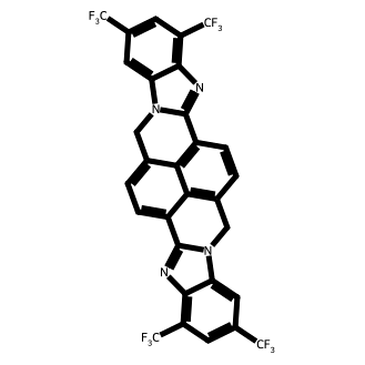 FC(F)(F)c1cc(C(F)(F)F)c2nc3n(c2c1)Cc1ccc2c4c(ccc-3c14)Cn1c-2nc2c(C(F)(F)F)cc(C(F)(F)F)cc21